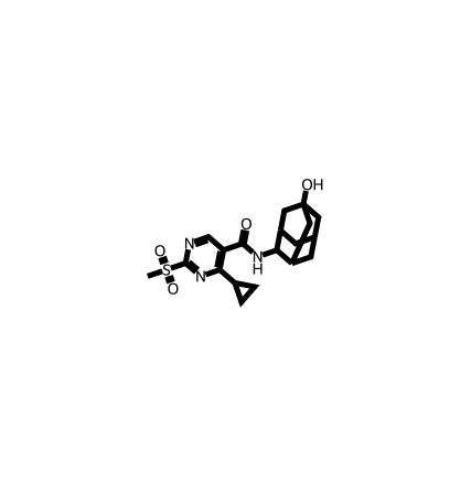 CS(=O)(=O)c1ncc(C(=O)NC2C3CC4CC2CC(O)(C4)C3)c(C2CC2)n1